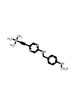 C[Si](C)(C)C#Cc1cnc(NCc2ccc(NC(=O)O)cc2)cn1